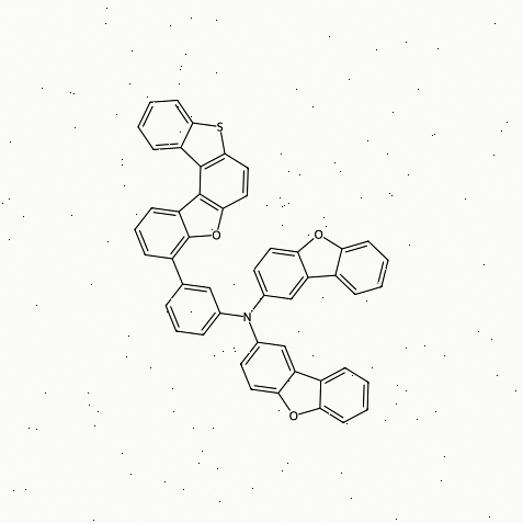 c1cc(-c2cccc3c2oc2ccc4sc5ccccc5c4c23)cc(N(c2ccc3oc4ccccc4c3c2)c2ccc3oc4ccccc4c3c2)c1